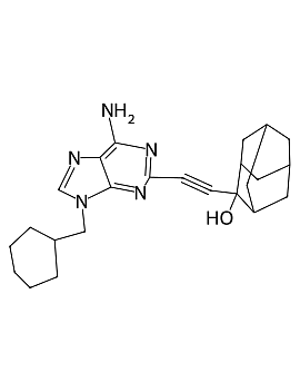 Nc1nc(C#CC2(O)C3CC4CC(C3)CC2C4)nc2c1ncn2CC1CCCCC1